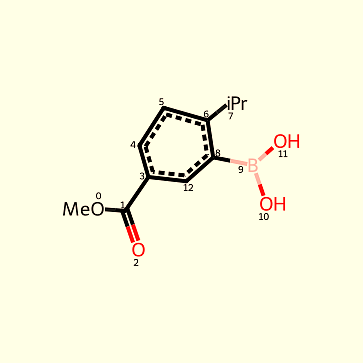 COC(=O)c1ccc(C(C)C)c(B(O)O)c1